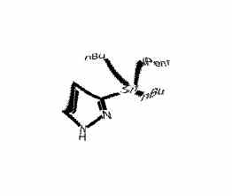 CCC[CH2][Sn]([CH2]CCC)([c]1cc[nH]n1)[CH](C)CCC